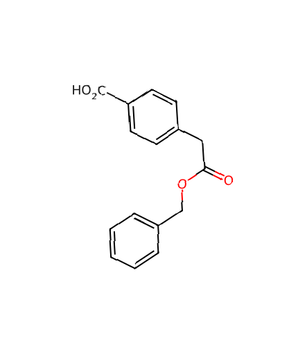 O=C(Cc1ccc(C(=O)O)cc1)OCc1ccccc1